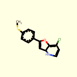 CSc1ccc(C2=CC3NC=CC(Cl)=C3O2)cc1